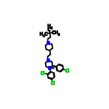 CC(C)(C)CCN1CCC(CCN2CCN(c3ccc(Cl)cc3Cl)[C@H](c3ccc(Cl)cc3)C2)CC1